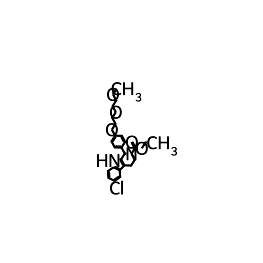 CCOC(=O)N1CCc2c([nH]c3ccc(Cl)cc23)C1c1ccc(OCCOCCOC)cc1